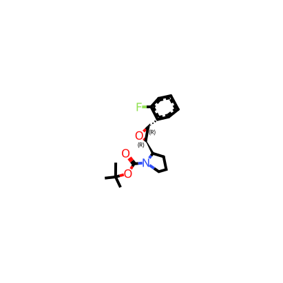 CC(C)(C)OC(=O)N1CCCC1[C@H]1O[C@@H]1c1ccccc1F